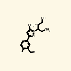 CCOC(=O)c1cc(-c2ccc(F)c(CI)c2)nn1C(CN)CCO